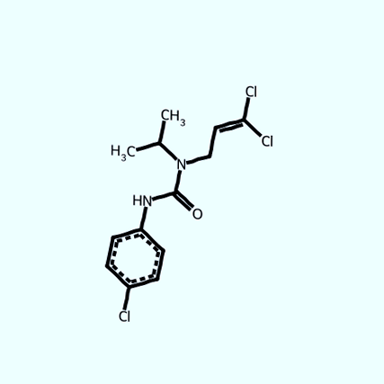 CC(C)N(CC=C(Cl)Cl)C(=O)Nc1ccc(Cl)cc1